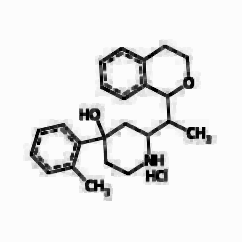 Cc1ccccc1C1(O)CCNC(C(C)C2OCCc3ccccc32)C1.Cl